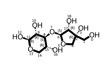 OC[C@@]1(O)CO[C@@H](O[C@@H]2[C@@H](O)[C@H](O)OC[C@H]2O)[C@@H]1O